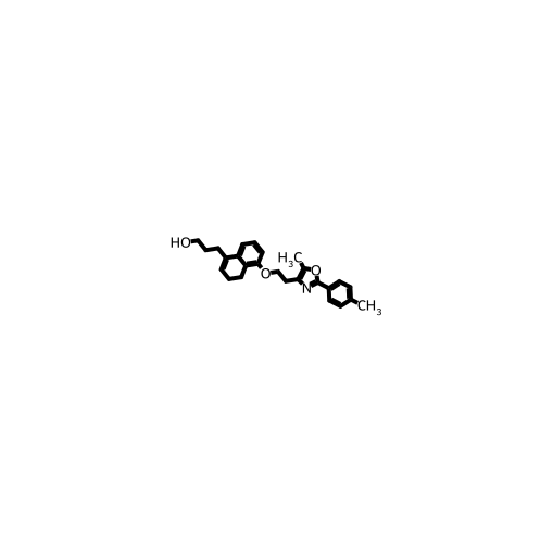 Cc1ccc(-c2nc(CCOc3cccc4c3CCC=C4CCCO)c(C)o2)cc1